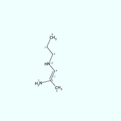 CCCN/C=C(/C)N